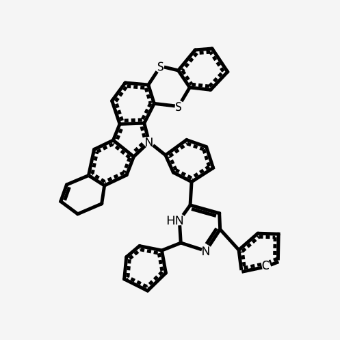 C1=Cc2cc3c4ccc5c(c4n(-c4cccc(C6=CC(c7ccccc7)=NC(c7ccccc7)N6)c4)c3cc2CC1)Sc1ccccc1S5